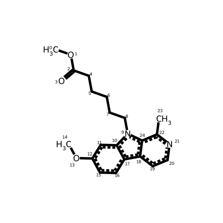 COC(=O)CCCCCn1c2cc(OC)ccc2c2ccnc(C)c21